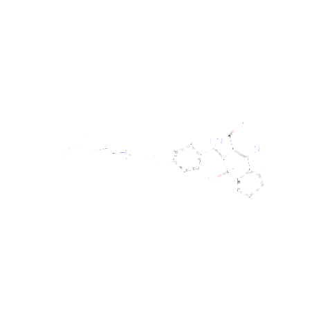 NC1=C2C(=O)NC(c3ccc(SOONCCSOOO)cc3)=C2C(=O)c2ccccc21